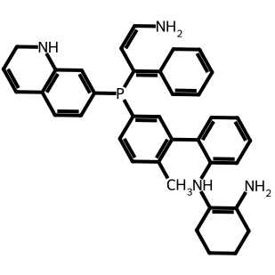 Cc1ccc(P(C(/C=C\N)=C2\C=CC=CC2)c2ccc3c(c2)NCC=C3)cc1-c1ccccc1NC1=C(N)CCCC1